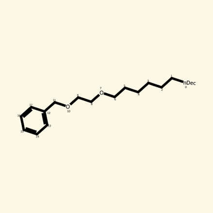 CCCCCCCCCCCCCCCCOCCOCc1ccccc1